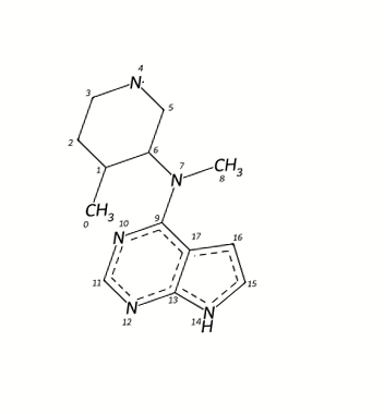 CC1CC[N]CC1N(C)c1ncnc2[nH]ccc12